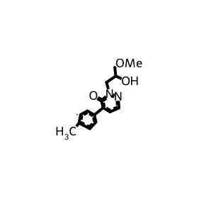 COCC(O)Cn1nccc(-c2c[c]c(C)cc2)c1=O